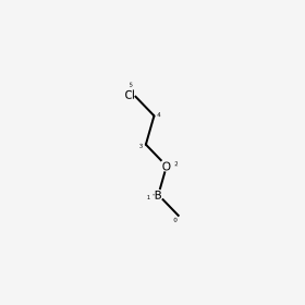 C[B]OCCCl